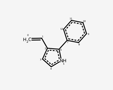 C=Cc1cc[nH]c1-c1ccccc1